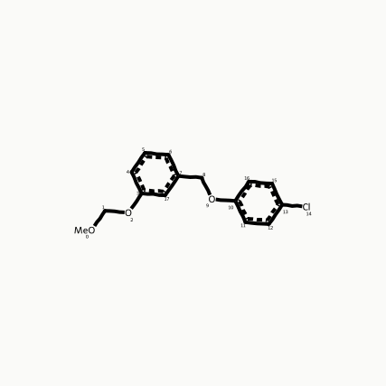 COCOc1cccc(COc2ccc(Cl)cc2)c1